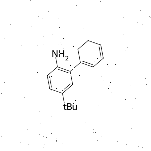 CC(C)(C)c1ccc(N)c(C2=CC=CCC2)c1